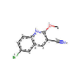 COc1nc2ccc(Br)cc2cc1C#N